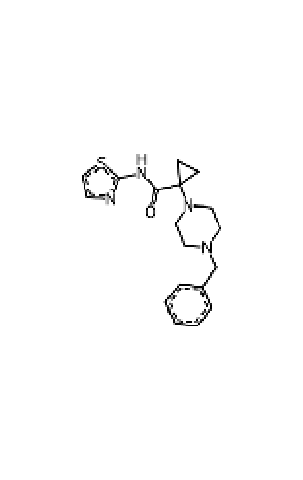 O=C(Nc1nccs1)C1(N2CCN(Cc3ccccc3)CC2)CC1